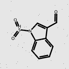 O=Cc1cn([SH](=O)=O)c2ccccc12